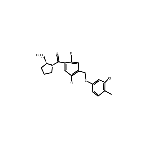 Cc1ccc(OCc2cc(F)c(C(=O)N3CCC[C@H]3C(=O)O)cc2Cl)cc1Cl